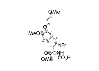 COCCCOc1cc(C[C@H](C[C@H](NC(=O)O)C(=O)OC)C(C)C)ccc1OC